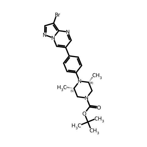 C[C@@H]1CN(C(=O)OC(C)(C)C)C[C@H](C)N1c1ccc(-c2cnc3c(Br)cnn3c2)cc1